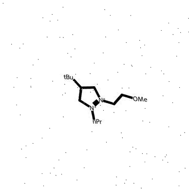 CCC[N+]1=[N+](CCOC)CC(C(C)(C)C)C1